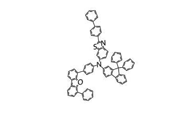 c1ccc(-c2ccc(-c3nc4ccc(N(c5ccc(-c6cccc7c6oc6c(-c8ccccc8)cccc67)cc5)c5ccc6c(c5)C(c5ccccc5)(c5ccccc5)c5ccccc5-6)cc4s3)cc2)cc1